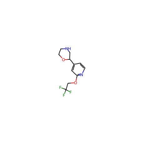 FC(F)(F)COc1cc(C2CNCCO2)ccn1